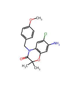 COc1ccc(CN2C(=O)C(C)(C)Oc3cc(N)c(Cl)cc32)cc1